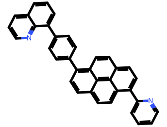 c1ccc(-c2ccc3ccc4c(-c5ccc(-c6cccc7cccnc67)cc5)ccc5ccc2c3c54)nc1